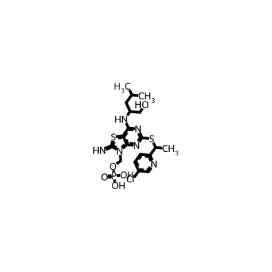 CC(C)CC(CO)Nc1nc(SC(C)c2ccc(Cl)cn2)nc2c1sc(=N)n2COP(=O)(O)O